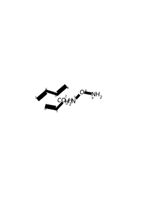 C=CC(=O)O.C=CC=C.NON